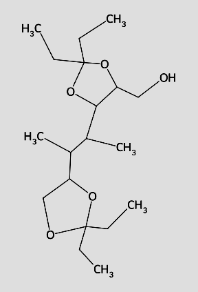 CCC1(CC)OCC(C(C)C(C)C2OC(CC)(CC)OC2CO)O1